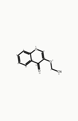 N#CCOc1coc2ccccc2c1=O